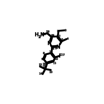 CCc1c(C)nc(-c2ccc(C(C)(C)C)cc2F)nc1CN